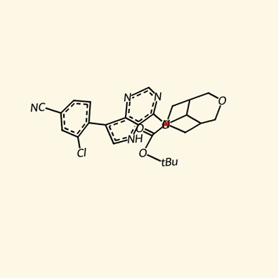 CC(C)(C)OC(=O)N1CC2COCC(C1)C2Oc1ncnc2c(-c3ccc(C#N)cc3Cl)c[nH]c12